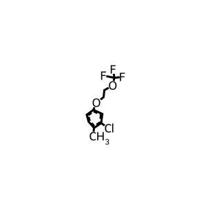 Cc1ccc(OCCOC(F)(F)F)cc1Cl